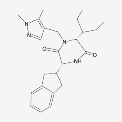 CCC(CC)[C@@H]1C(=O)N[C@H](C2Cc3ccccc3C2)C(=O)N1Cc1cnn(C)c1C